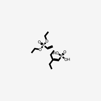 C=CP(=O)(OCC)OCC.CCC(=CP(=O)(O)O)CC